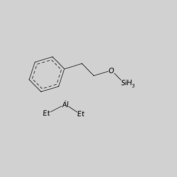 C[CH2][Al][CH2]C.[SiH3]OCCc1ccccc1